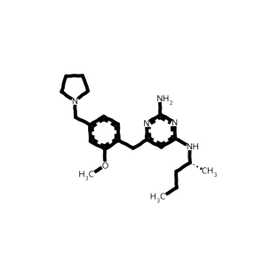 CCC[C@@H](C)Nc1cc(Cc2ccc(CN3CCCC3)cc2OC)nc(N)n1